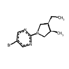 CC[C@@H]1CN(c2ncc(Br)cn2)C[C@@H]1C